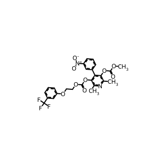 COC(=O)Oc1c(C)nc(C)c(OC(=O)OCCOc2cccc(C(F)(F)F)c2)c1-c1cccc([N+](=O)[O-])c1